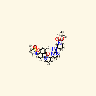 Cc1ccc2c(N3CC[C@H](C)S3(=O)=O)cccc2c1Oc1ncccc1-c1ccnc(N[C@H]2CCCN(C(=O)OC(C)(C)C)C2)n1